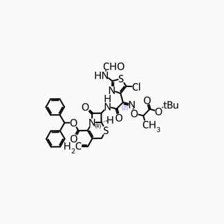 C=CC1=C(C(=O)OC(c2ccccc2)c2ccccc2)N2C(=O)C(NC(=O)/C(=N\OC(C)C(=O)OC(C)(C)C)c3nc(NC=O)sc3Cl)[C@H]2SC1